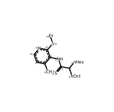 CCCCCCCCC(CCCCCC)C(=S)Nc1c(C)ccnc1SCC